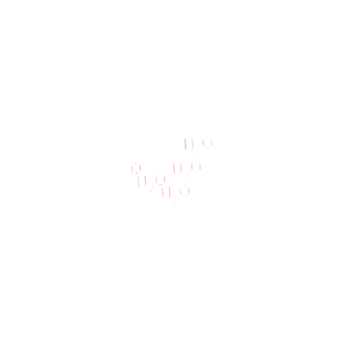 O.O.O.O.[O]